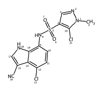 Cn1ncc(S(=O)(=O)Nc2ccc(Cl)c3c(C#N)c[nH]c23)c1Cl